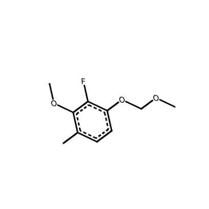 COCOc1ccc(C)c(OC)c1F